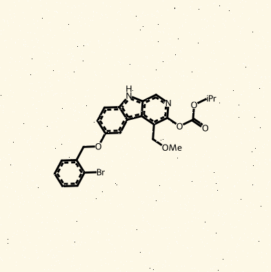 COCc1c(OC(=O)OC(C)C)ncc2[nH]c3ccc(OCc4ccccc4Br)cc3c12